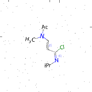 CC(=O)N(C)/C=C/C(Cl)=N\C(C)C